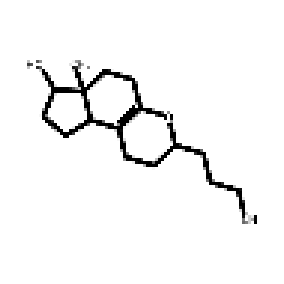 CC12CCC3=C(CCC(CCCC#N)O3)C1CCC2O